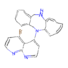 Brc1ccnc2nccc(N3c4ccccc4Nc4ccccc43)c12